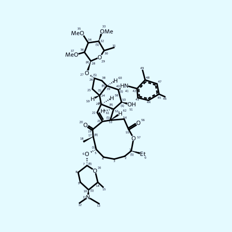 CC[C@H]1CCC[C@H](O[C@H]2CC[C@H](N(C)C)C(C)O2)[C@@H](C)C(=O)C2=C[C@H]3[C@@H]4C[C@H](O[C@@H]5OC(C)[C@H](OC)C(OC)C5OC)C[C@H]4[C@H](Nc4ccc(C)cc4C)[C@@H](O)[C@H]3[C@@H]2CC(=O)O1